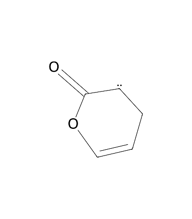 O=C1[C]CC=CO1